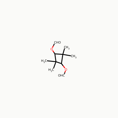 CC1(C)C(OC=O)C(C)(C)C1OC=O